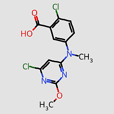 COc1nc(Cl)cc(N(C)c2ccc(Cl)c(C(=O)O)c2)n1